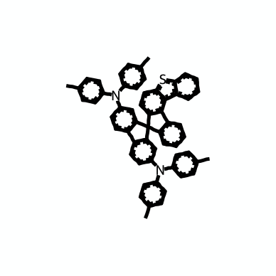 Cc1ccc(N(c2ccc(C)cc2)c2ccc3c(c2)C2(c4cc(N(c5ccc(C)cc5)c5ccc(C)cc5)ccc4-3)c3ccccc3-c3c2ccc2sc4ccccc4c32)cc1